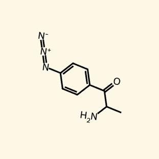 CC(N)C(=O)c1ccc(N=[N+]=[N-])cc1